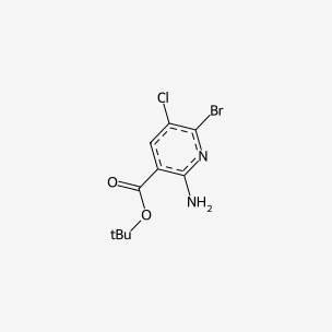 CC(C)(C)OC(=O)c1cc(Cl)c(Br)nc1N